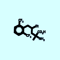 CCC(Cc1c(C(F)(F)F)cccc1C(F)(F)F)CC(C)(N)C(=O)O